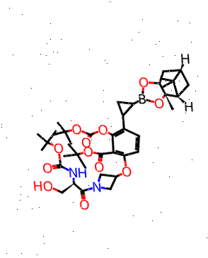 CC(C)(C)OC(=O)N[C@H](CO)C(=O)N1CC(Oc2ccc(C3CC3B3OC4C[C@@H]5C[C@@H](C5(C)C)[C@]4(C)O3)c(OC(=O)OC(C)(C)C)c2C(=O)OC(C)(C)C)C1